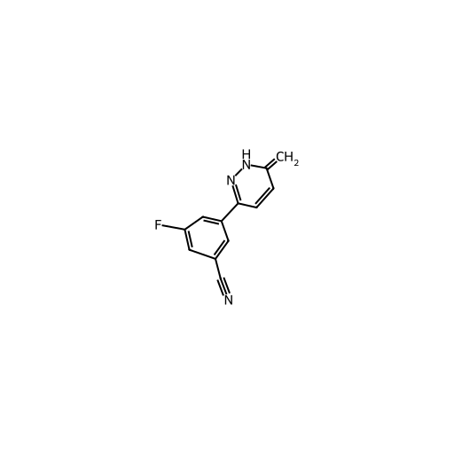 C=C1C=CC(c2cc(F)cc(C#N)c2)=NN1